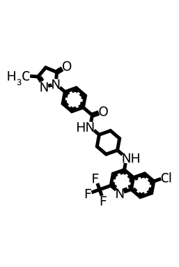 CC1=NN(c2ccc(C(=O)NC3CCC(Nc4cc(C(F)(F)F)nc5ccc(Cl)cc45)CC3)cc2)C(=O)C1